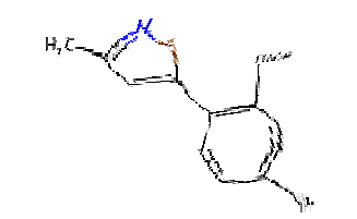 COc1cc(C(C)C)ccc1-c1cc(C)ns1